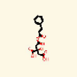 O=C(O)CC(O)(CC(=O)OC(=O)C=Cc1ccccc1)C(=O)O